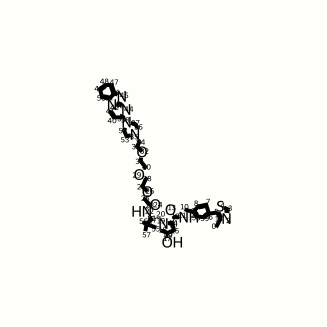 Cc1ncsc1-c1ccc(CNC(=O)[C@@H]2C[C@@H](O)CN2C[C@@H](NC(=O)COCCOCCOCCN2CCN(c3ccn4c(n3)nc3ccccc34)CC2)C(C)(C)C)cc1